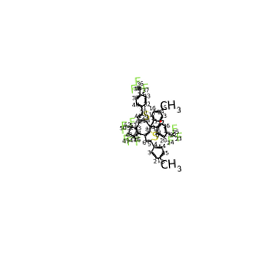 Cc1ccc(-c2cc3c(s2)C(c2ccc(C)cc2)(c2ccc(C(F)(F)F)cc2)c2sc(-c4ccc(C(F)(F)F)cc4)cc2C2=C3C(F)(F)C(F)(F)C2(F)F)cc1